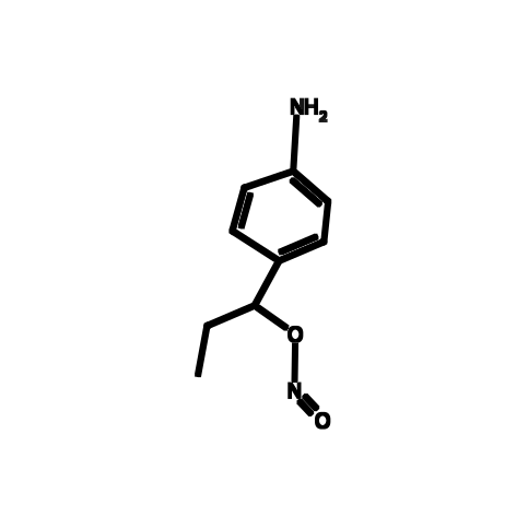 CCC(ON=O)c1ccc(N)cc1